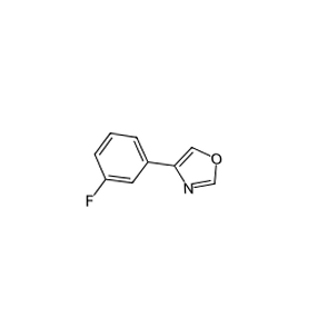 Fc1cccc(-c2cocn2)c1